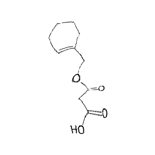 O=C(O)CC(=O)OCC1=CCCCC1